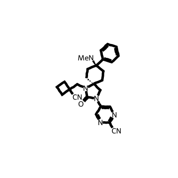 CN[C@]1(c2ccccc2)CC[C@]2(CC1)CN(c1cnc(C#N)nc1)C(=O)N2CC1(C#N)CCC1